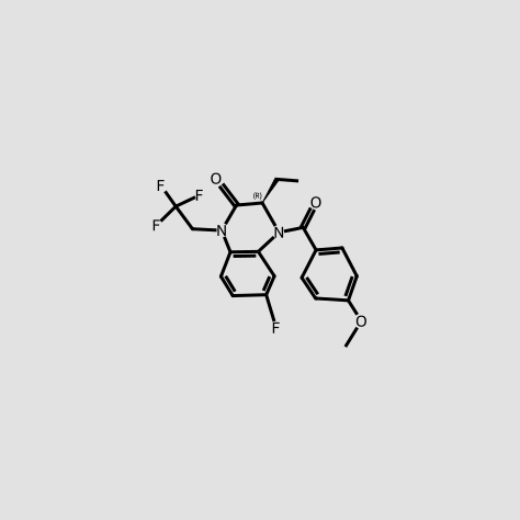 CC[C@@H]1C(=O)N(CC(F)(F)F)c2ccc(F)cc2N1C(=O)c1ccc(OC)cc1